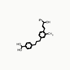 Cc1cc(CCCc2ccc(C(O)O)cc2)ccc1C=CC(O)C(C)C